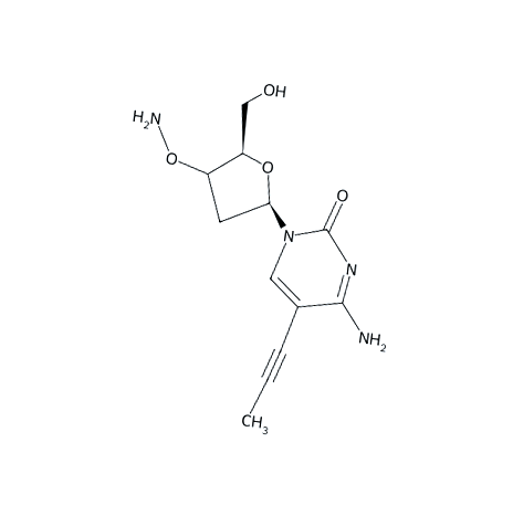 CC#Cc1cn([C@H]2CC(ON)[C@@H](CO)O2)c(=O)nc1N